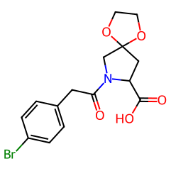 O=C(O)C1CC2(CN1C(=O)Cc1ccc(Br)cc1)OCCO2